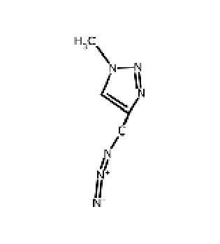 Cn1cc(CN=[N+]=[N-])nn1